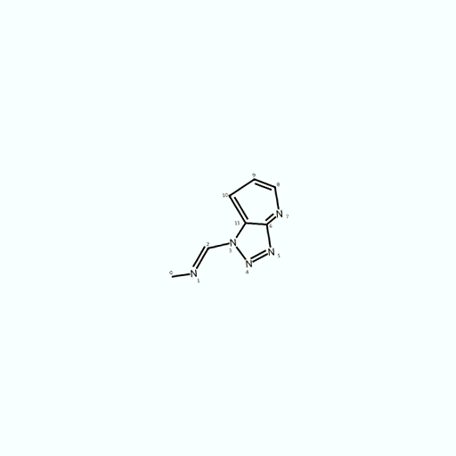 CN=Cn1nnc2ncccc21